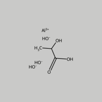 CC(O)C(=O)O.[Al+3].[OH-].[OH-].[OH-]